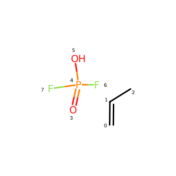 C=CC.O=P(O)(F)F